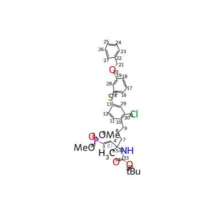 COP(=O)(/C=C/C(C)(CCCc1ccc(Sc2cccc(OCc3ccccc3)c2)cc1Cl)NC(=O)OC(C)(C)C)OC